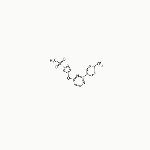 CS(=O)(=O)c1cc(Oc2ccnc(-c3ccc(C(F)(F)F)cc3)n2)cs1